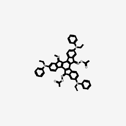 CCN(c1ccccc1)c1ccc2c(c1)/c(=N\C)c1c2c2/c(=N/OC(C)=O)c3cc(N(CC)c4ccccc4)ccc3c2c2/c(=N/OC(C)=O)c3cc(N(CC)c4ccccc4)ccc3c12